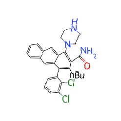 CCCCc1c(C(N)=O)c(N2CCNCC2)c2cc3ccccc3cc2c1-c1cccc(Cl)c1Cl